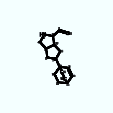 O=CC1NCC2CN(C34C=CC(CC3)CC4)CC21